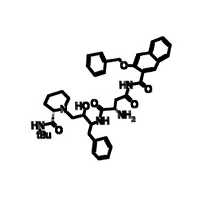 CC(C)(C)NC(=O)[C@@H]1CCCCN1CC(O)C(Cc1ccccc1)NC(=O)[C@@H](N)CC(=O)NC(=O)c1cc2ccccc2cc1OCc1ccccc1